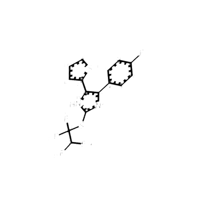 Fc1ccc(-c2nc(SC(F)(F)C(F)F)[nH]c2-c2cccs2)cc1